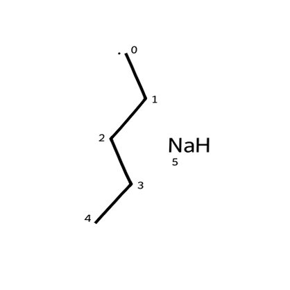 [CH2]CCCC.[NaH]